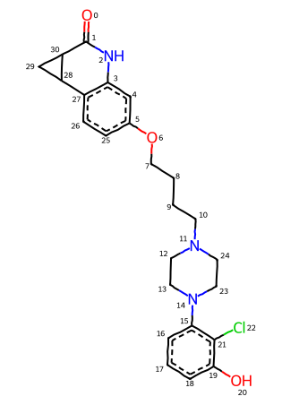 O=C1Nc2cc(OCCCCN3CCN(c4cccc(O)c4Cl)CC3)ccc2C2CC12